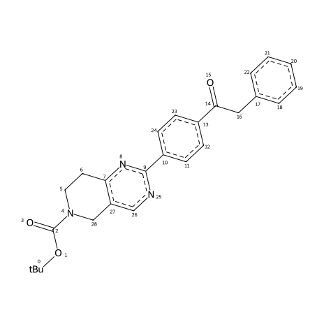 CC(C)(C)OC(=O)N1CCc2nc(-c3ccc(C(=O)Cc4ccccc4)cc3)ncc2C1